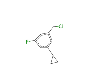 Fc1cc(CCl)cc(C2CC2)c1